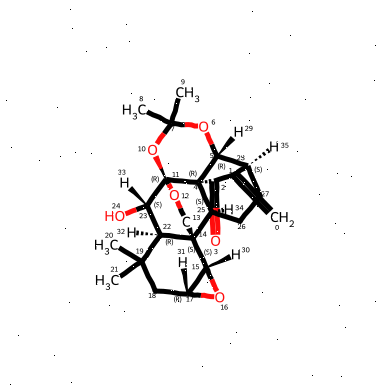 C=C1C(=O)[C@@]23[C@@H]4OC(C)(C)O[C@]25OC[C@]2([C@@H]6O[C@@H]6CC(C)(C)[C@H]2[C@@H]5O)[C@@H]3CC[C@@H]14